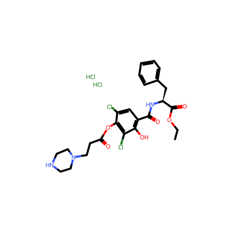 CCOC(=O)[C@H](Cc1ccccc1)NC(=O)c1cc(Cl)c(OC(=O)CCN2CCNCC2)c(Cl)c1O.Cl.Cl